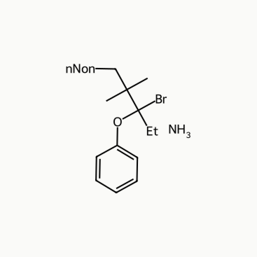 CCCCCCCCCCC(C)(C)C(Br)(CC)Oc1ccccc1.N